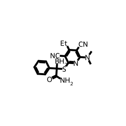 BC(Sc1nc(N(C)C)c(C#N)c(CC)c1C#N)(C(N)=O)c1ccccc1